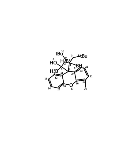 BC(B)(CC(C)(C)C)C1(C(B)(O)CC(C)(C)C)c2ccccc2Oc2c(C)cccc21